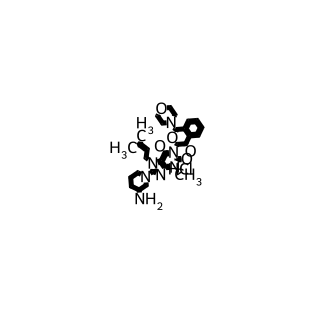 CC(C)=CCn1c(N2CCCC(N)C2)nc2c1c(=O)n(CC(=O)c1ccccc1C(=O)N1CCOCC1)c(=O)n2C.Cl